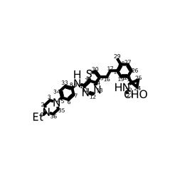 CCN1CCN(c2ccc(Nc3ncnc4c(CCc5cc(C6(NC=O)CC6)ccc5C)csc34)cc2)CC1